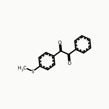 CSc1ccc(C(=O)C(=O)c2ccccc2)cc1